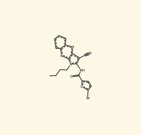 CCCCn1c(NC(=O)c2ccc(Br)o2)c(C#N)c2nc3ccccc3nc21